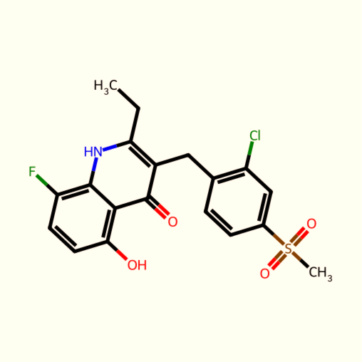 CCc1[nH]c2c(F)ccc(O)c2c(=O)c1Cc1ccc(S(C)(=O)=O)cc1Cl